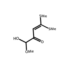 COC(O)C(=O)C=C(SC)SC